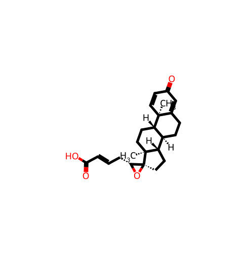 C[C@]12C=CC(=O)C=C1CC[C@@H]1[C@@H]2CC[C@@]2(C)[C@H]1CC[C@@]21O[C@@H]1CC=CC(=O)O